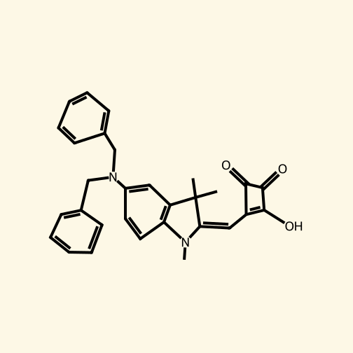 CN1/C(=C/c2c(O)c(=O)c2=O)C(C)(C)c2cc(N(Cc3ccccc3)Cc3ccccc3)ccc21